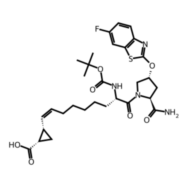 CC(C)(C)OC(=O)N[C@@H](CCCCC/C=C\[C@@H]1C[C@@H]1C(=O)O)C(=O)N1C[C@H](Oc2nc3ccc(F)cc3s2)C[C@H]1C(N)=O